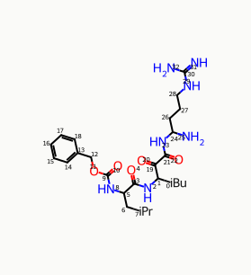 CCC(C)C(NC(=O)C(CC(C)C)NC(=O)OCc1ccccc1)C(=O)C(=O)NC(N)CCCNC(=N)N